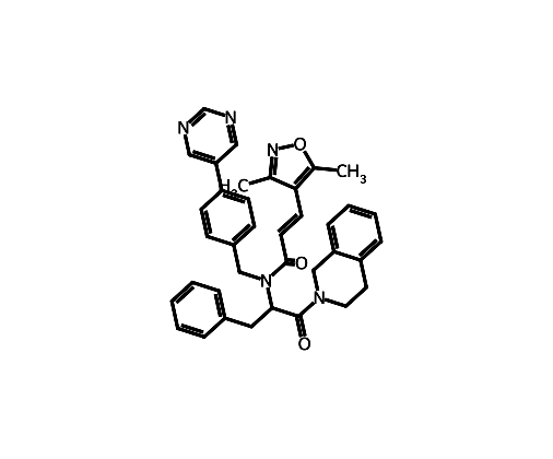 Cc1noc(C)c1C=CC(=O)N(Cc1ccc(-c2cncnc2)cc1)C(Cc1ccccc1)C(=O)N1CCc2ccccc2C1